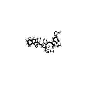 COc1ccc2[nH]c(C)c(CC(=O)N[C@@H](CCCS)C(=O)Nc3ccc4ccccc4c3)c2c1